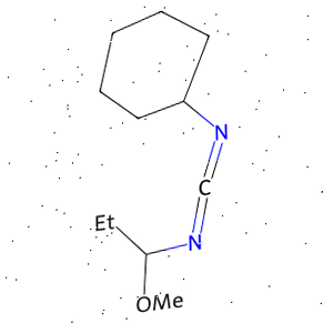 [CH2]OC(CC)N=C=NC1CCCCC1